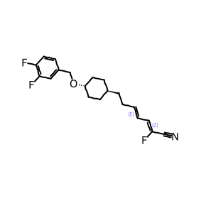 N#C/C(F)=C/C=C/CC[C@H]1CC[C@H](OCc2ccc(F)c(F)c2)CC1